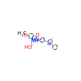 COc1ccc(C(=O)Nc2ccc(-c3csc(-c4ccccc4)n3)cc2)c(NCCO)c1